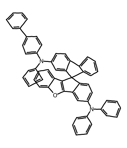 c1ccc(-c2ccc(N(c3ccccc3)c3ccc4c(c3)C3(c5ccccc5-4)c4ccc(N(c5ccccc5)c5ccccc5)cc4-c4oc5ccccc5c43)cc2)cc1